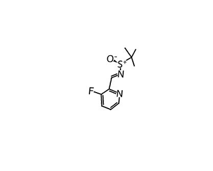 CC(C)(C)[S@+]([O-])N=Cc1ncccc1F